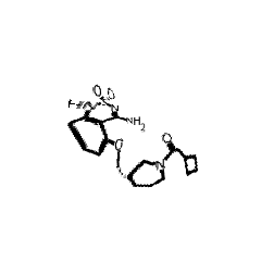 NC1=NS(=O)(=O)Nc2cccc(OC[C@H]3CCCN(C(=O)C4CCC4)C3)c21